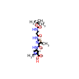 Cc1sc(NC(=O)CCNC(=O)OC(C)(C)C)nc1C(=O)Nc1cc(C(=O)O)n(C)c1